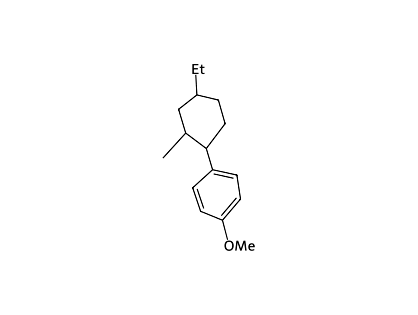 CCC1CCC(c2ccc(OC)cc2)C(C)C1